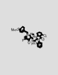 COc1ccc(Cn2cc(F)c(=O)c3c(NC(C)c4nc5cccc(Cl)c5c(=O)n4-c4ccccc4)ncnc32)cc1